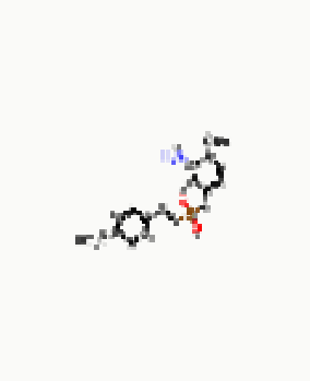 COc1ccc(CS(=O)(=O)C=Cc2ccc(C(=O)O)cc2)cc1N